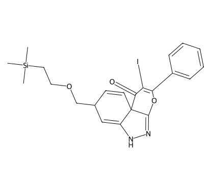 C[Si](C)(C)CCOCC1C=CC23C(=O)C(I)=C(c4ccccc4)OC2=NNC3=C1